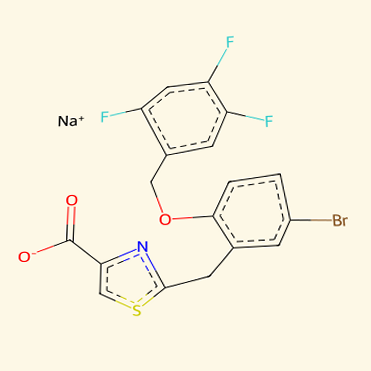 O=C([O-])c1csc(Cc2cc(Br)ccc2OCc2cc(F)c(F)cc2F)n1.[Na+]